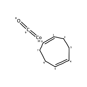 C1=CCCC=CCC1.O=[C]=[Co]